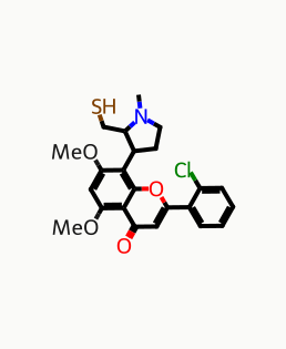 COc1cc(OC)c2c(=O)cc(-c3ccccc3Cl)oc2c1C1CCN(C)C1CS